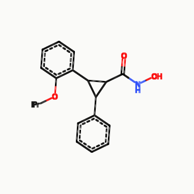 CC(C)Oc1ccccc1C1C(C(=O)NO)C1c1ccccc1